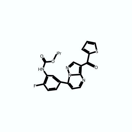 CC(C)OC(=O)Nc1cc(-c2ccnc3c(C(=O)c4cccs4)cnn23)ccc1F